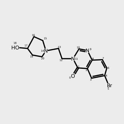 O=c1c2cc(Br)ccc2ncn1CCN1CCC(O)CC1